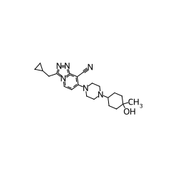 CC1(O)CCC(N2CCN(c3ccn4c(CC5CC5)nnc4c3C#N)CC2)CC1